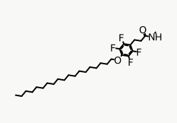 CCCCCCCCCCCCCCCCCCCOc1c(F)c(F)c(CCC(=O)NC)c(F)c1F